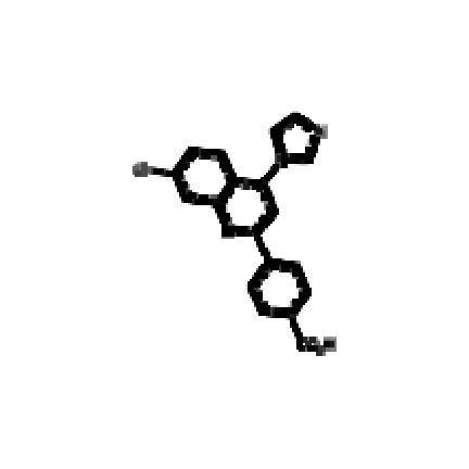 O=C(O)c1ccc(-c2cc(-n3ccnc3)c3ccc(Cl)cc3n2)cc1